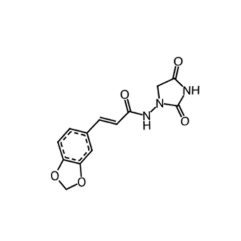 O=C(C=Cc1ccc2c(c1)OCO2)NN1CC(=O)NC1=O